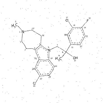 CN1CCc2c(n(CC(C)(O)c3ccc(F)c(Cl)c3)c3ccc(Cl)cc23)CC1